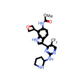 COC(=O)Nc1ccc2c(-c3nc(NC4CCCNC4)ncc3C(F)(F)F)c[nH]c2c1C1COC1